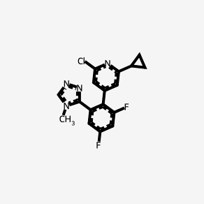 Cn1cnnc1-c1cc(F)cc(F)c1-c1cc(Cl)nc(C2CC2)c1